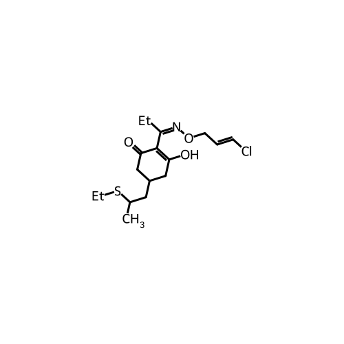 CCSC(C)CC1CC(=O)C(/C(CC)=N\OC/C=C/Cl)=C(O)C1